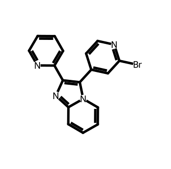 Brc1cc(-c2c(-c3ccccn3)nc3ccccn23)ccn1